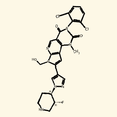 Cn1c(=O)n(-c2c(Cl)cccc2Cl)c(=O)c2cnc3c(cc(-c4cnn([C@@H]5CCNC[C@H]5F)c4)n3CO)c21